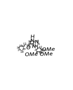 COc1cc(-c2cnc3[nH]cc(C(=O)CC4CCCCC4)c3n2)cc(OC)c1OC